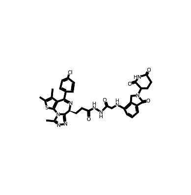 Cc1sc2c(c1C)C(c1ccc(Cl)cc1)=N[C@@H](CCC(=O)NNC(=O)CNc1cccc3c1CN(C1CCC(=O)NC1=O)C3=O)c1nnc(C)n1-2